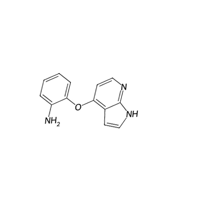 Nc1ccccc1Oc1ccnc2[nH]ccc12